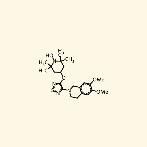 COc1cc2c(cc1OC)CN(c1nsnc1OC1CC(C)(C)N(O)C(C)(C)C1)CC2